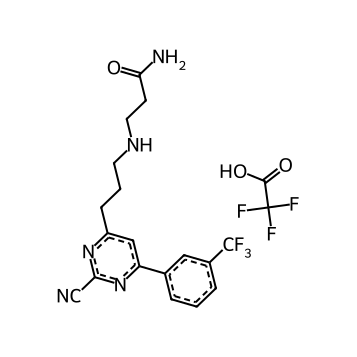 N#Cc1nc(CCCNCCC(N)=O)cc(-c2cccc(C(F)(F)F)c2)n1.O=C(O)C(F)(F)F